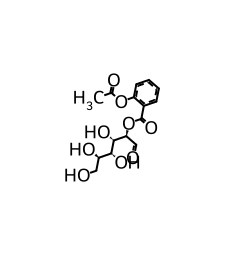 CC(=O)Oc1ccccc1C(=O)O[C@@H](C=O)[C@@H](O)[C@H](O)[C@H](O)CO